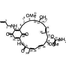 C=CCNC1=C2C[C@H](C)C[C@H](OC)[C@@H](O)[C@H](C)/C=C(\C)[C@H](OC(N)=O)[C@@H](OC)/C=C/C=C(/C)C(=O)NC(=CC1=O)C2=O